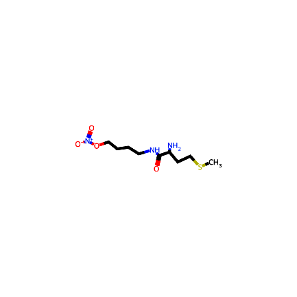 CSCCC(N)C(=O)NCCCCO[N+](=O)[O-]